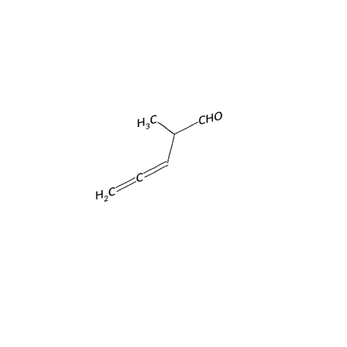 C=C=CC(C)C=O